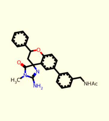 CC(=O)NCc1cccc(-c2ccc3c(c2)C2(CC(c4ccccc4)O3)N=C(N)N(C)C2=O)c1